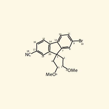 COCCC1(CCOC)c2cc(Br)ccc2-c2ccc(C#N)cc21